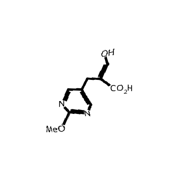 COc1ncc(C/C(=C\O)C(=O)O)cn1